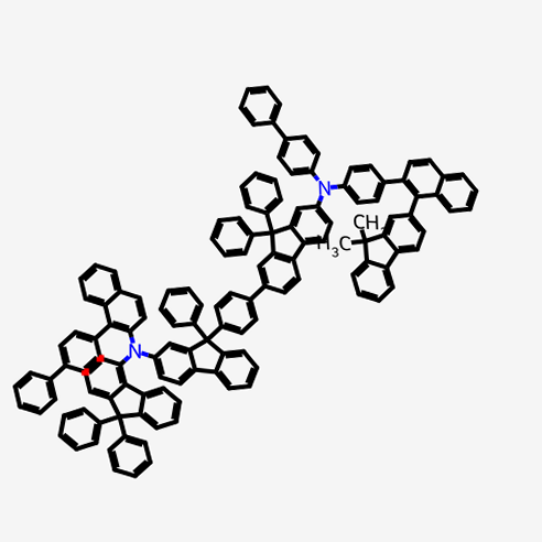 CC1(C)c2ccccc2-c2ccc(-c3c(-c4ccc(N(c5ccc(-c6ccccc6)cc5)c5ccc6c(c5)C(c5ccccc5)(c5ccccc5)c5cc(-c7ccc(C8(c9ccccc9)c9ccccc9-c9ccc(N(c%10cccc%11c%10-c%10ccccc%10C%11(c%10ccccc%10)c%10ccccc%10)c%10ccc%11ccccc%11c%10-c%10ccc(-c%11ccccc%11)cc%10)cc98)cc7)ccc5-6)cc4)ccc4ccccc34)cc21